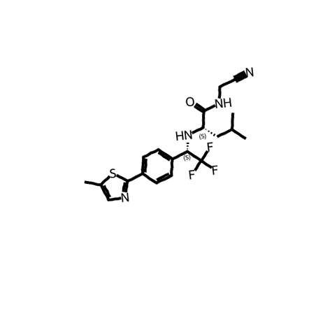 Cc1cnc(-c2ccc([C@H](N[C@@H](CC(C)C)C(=O)NCC#N)C(F)(F)F)cc2)s1